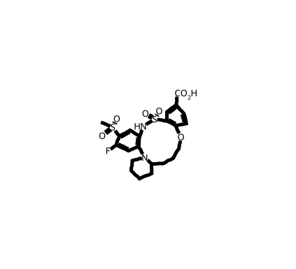 CS(=O)(=O)c1cc2c(cc1F)N1CCCCC1CCCOc1ccc(C(=O)O)cc1S(=O)(=O)N2